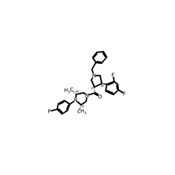 C[C@@H]1CN(C(=O)[C@@H]2CN(Cc3ccccc3)C[C@H]2c2ccc(F)cc2F)C[C@H](C)N1c1ccc(F)cc1